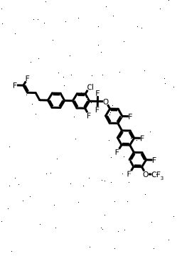 FC(F)=CCCc1ccc(-c2cc(F)c(C(F)(F)Oc3ccc(-c4cc(F)c(-c5cc(F)c(OC(F)(F)F)c(F)c5)c(F)c4)c(F)c3)c(Cl)c2)cc1